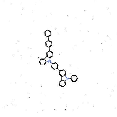 c1ccc(-c2ccc(-c3ccc4c(c3)c3ccccc3n4-c3ccc(-c4ccc5c(c4)c4ccccc4n5-c4ccccc4)cc3)cc2)cc1